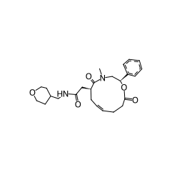 CN1C[C@@H](c2ccccc2)OC(=O)CCC=CC[C@@H](CC(=O)NCC2CCOCC2)C1=O